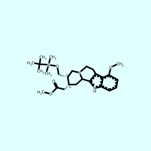 COC(=O)C[C@H]1CC2c3[nH]c4cccc(OC)c4c3CCN2C[C@H]1CO[Si](C)(C)C(C)(C)C